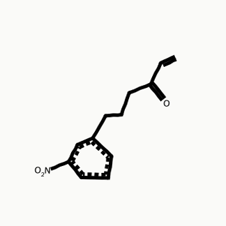 C=CC(=O)CCCc1cccc([N+](=O)[O-])c1